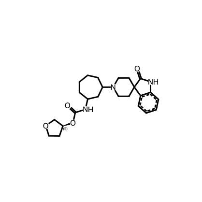 O=C(NC1CCCCC(N2CCC3(CC2)C(=O)Nc2ccccc23)C1)O[C@H]1CCOC1